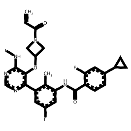 C=CC(=O)N1CC(Oc2c(NI)ncnc2-c2cc(F)cc(NC(=O)c3ccc(C4CC4)cc3F)c2C)C1